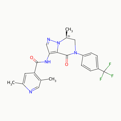 Cc1cc(C(=O)Nc2cnn3c2C(=O)N(c2ccc(C(F)(F)F)cc2)C[C@@H]3C)c(C)cn1